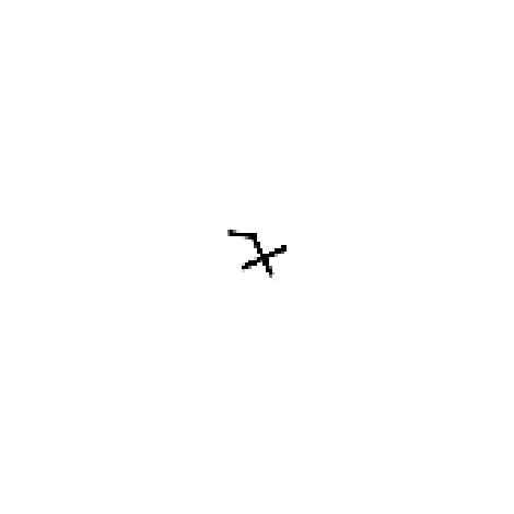 CC(C)(F)CI